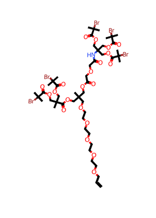 C=CCOCCOCCOCCOCCOCC(C)(COC(=O)COCC(=O)NC(COC(=O)C(C)(C)Br)(COC(=O)C(C)(C)Br)COC(=O)C(C)(C)Br)COC(=O)C(C)(COC(=O)C(C)(C)Br)COC(=O)C(C)(C)Br